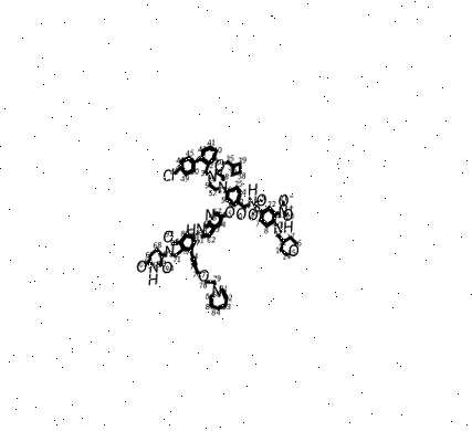 O=C(NS(=O)(=O)c1ccc(NCC2CCOCC2)c([N+](=O)[O-])c1)c1ccc(N2CCN(Cc3c(OCC4CCC4)cccc3-c3ccc(Cl)cc3)CC2)cc1Oc1cnc2[nH]ccc2c1.O=C1CCC(N2Cc3c(C#CCOCCN4C=CC=CC=C4)cccc3C2=O)C(=O)N1